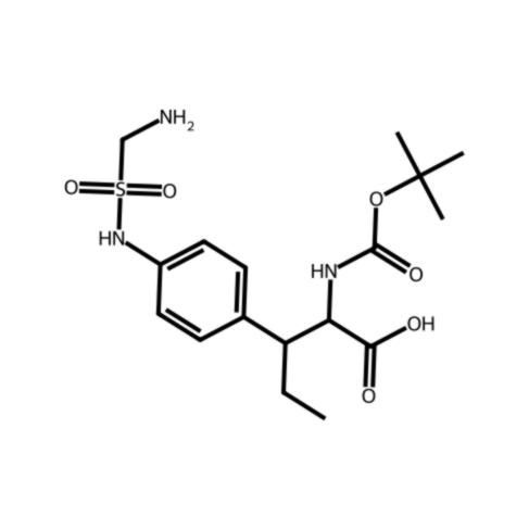 CCC(c1ccc(NS(=O)(=O)CN)cc1)C(NC(=O)OC(C)(C)C)C(=O)O